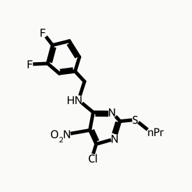 CCCSc1nc(Cl)c([N+](=O)[O-])c(NCc2ccc(F)c(F)c2)n1